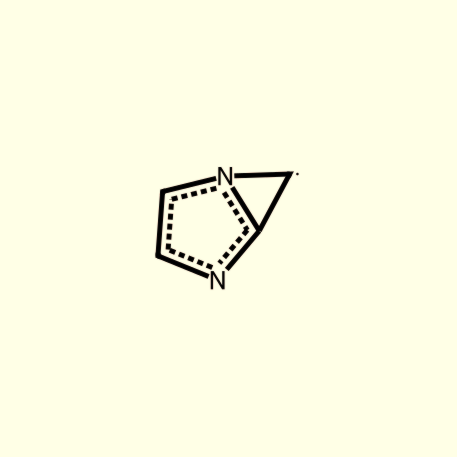 [CH]1c2nccn21